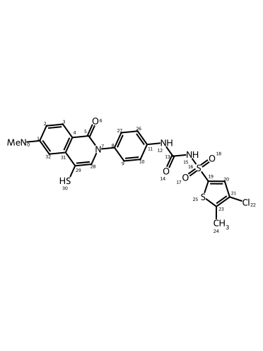 CNc1ccc2c(=O)n(-c3ccc(NC(=O)NS(=O)(=O)c4cc(Cl)c(C)s4)cc3)cc(S)c2c1